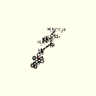 Nc1ncnc2c1ncn2[C@@H]1O[C@H](C[C@@H](N)CCC(N)C(=O)O)[C@@H](O)[C@H]1OCc1cnnn1CCCCCCNC(=O)OC1CCN(C(=O)c2ccccc2C2=c3cc4c5c(c3Oc3c2cc2c6c3CCCN6CCC2)CCC[N+]=5CCC4)CC1